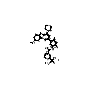 COC1CCc2nc3c(N4CCOCC4)cc(-c4cc(NC(=O)c5ccnc(C(C)(P)P)c5)c(F)cc4C)cn3c2C1